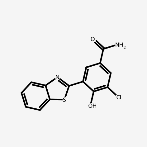 NC(=O)c1cc(Cl)c(O)c(-c2nc3ccccc3s2)c1